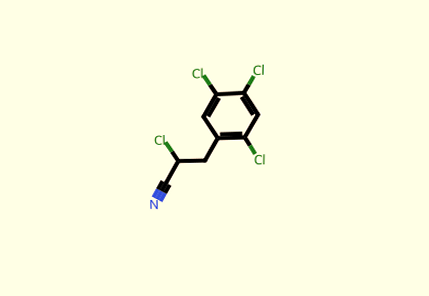 N#CC(Cl)Cc1cc(Cl)c(Cl)cc1Cl